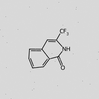 O=c1[nH]c(C(F)(F)F)cc2ccccc12